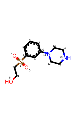 O=S(=O)(CCO)c1cccc(N2CCNCC2)c1